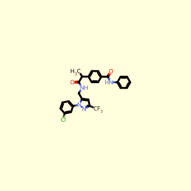 CC(C(=O)NCc1cc(C(F)(F)F)nn1-c1cccc(Cl)c1)c1ccc(C(=O)Nc2ccccc2)cc1